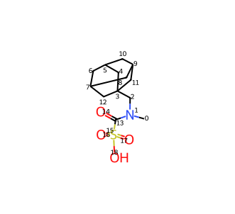 CN(CC12CC3CC(CC(C3)C1)C2)C(=O)S(=O)(=O)O